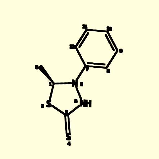 C[C@@H]1SC(=S)NN1c1ccccc1